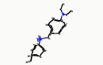 CCN(CC)c1ccc(CNc2ccc(C)cc2)cc1